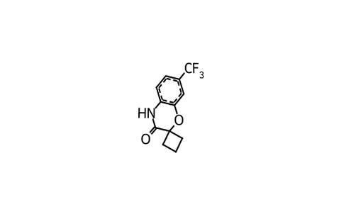 O=C1Nc2ccc(C(F)(F)F)cc2OC12CCC2